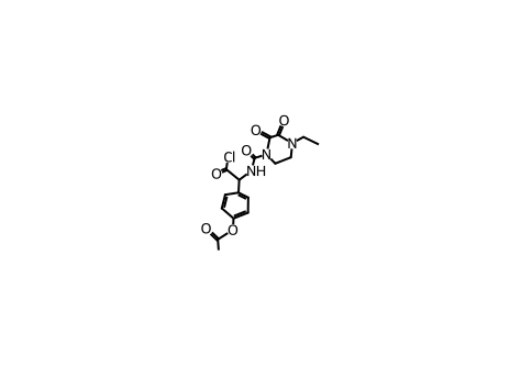 CCN1CCN(C(=O)NC(C(=O)Cl)c2ccc(OC(C)=O)cc2)C(=O)C1=O